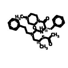 CC(=O)S[C@H](C)CN(CCc1ccccc1)C(=O)N[C@@H](Cc1ccccc1)C(=O)N1CCN(C)CC1